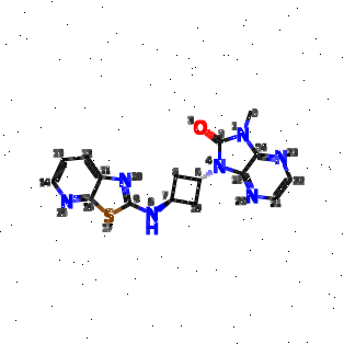 Cn1c(=O)n([C@H]2C[C@H](Nc3nc4cccnc4s3)C2)c2nccnc21